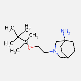 CC(C)(C)[Si](C)(C)OCCN1CC2CCC(N)(CC2)C1